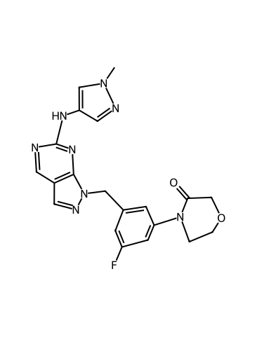 Cn1cc(Nc2ncc3cnn(Cc4cc(F)cc(N5CCOCC5=O)c4)c3n2)cn1